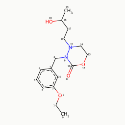 CCOc1cccc(CN2C(=O)OCCN2CCC(C)O)c1